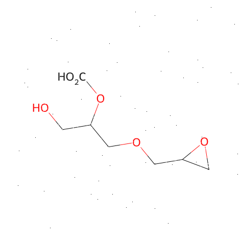 O=C(O)OC(CO)COCC1CO1